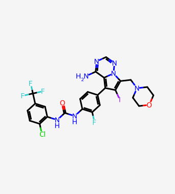 Nc1ncnn2c(CN3CCOCC3)c(I)c(-c3ccc(NC(=O)Nc4cc(C(F)(F)F)ccc4Cl)c(F)c3)c12